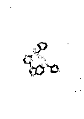 C[C@H](Nc1nccc(-n2cnc3ccc(Nc4ccncc4)cc32)n1)c1ccccc1